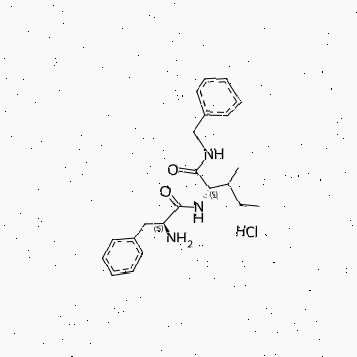 CCC(C)[C@H](NC(=O)[C@@H](N)Cc1ccccc1)C(=O)NCc1ccccc1.Cl